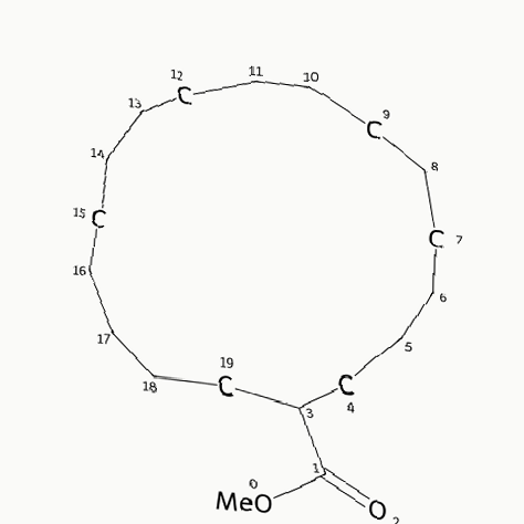 COC(=O)C1CCCCCCCCCCCCCCCC1